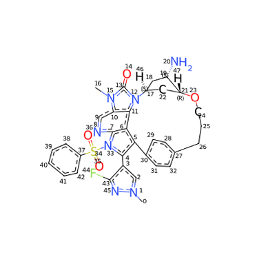 Cn1cc(-c2c3c4c(ncc5c4n(c(=O)n5C)[C@H]4C[C@H](N)[C@@H](C4)OCCCc4ccc-3cc4)n2S(=O)(=O)c2ccccc2)c(F)n1